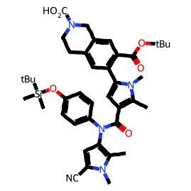 Cc1c(N(C(=O)c2cc(-c3cc4c(cc3C(=O)OC(C)(C)C)CN(C(=O)O)CC4)n(C)c2C)c2ccc(O[Si](C)(C)C(C)(C)C)cc2)cc(C#N)n1C